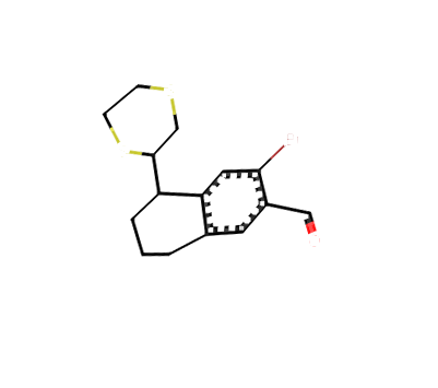 O=Cc1cc2c(cc1Br)C(C1CSCCS1)CCC2